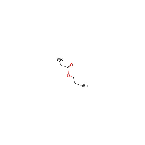 CCCCCCOC(=O)[CH2][Mo]